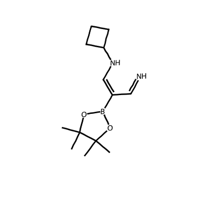 CC1(C)OB(/C(C=N)=C/NC2CCC2)OC1(C)C